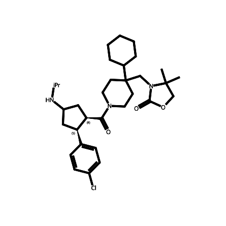 CC(C)NC1C[C@H](c2ccc(Cl)cc2)[C@H](C(=O)N2CCC(CN3C(=O)OCC3(C)C)(C3CCCCC3)CC2)C1